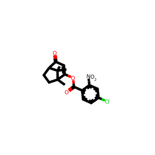 CC12CCC(C(=O)C=C1OC(=O)c1ccc(Cl)cc1[N+](=O)[O-])C2(C)C